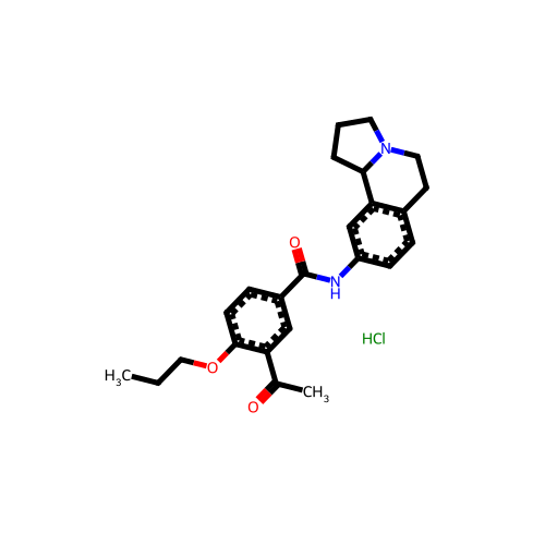 CCCOc1ccc(C(=O)Nc2ccc3c(c2)C2CCCN2CC3)cc1C(C)=O.Cl